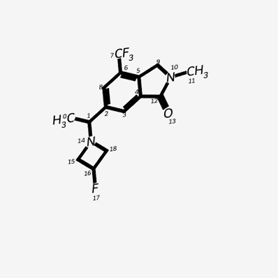 CC(c1cc2c(c(C(F)(F)F)c1)CN(C)C2=O)N1CC(F)C1